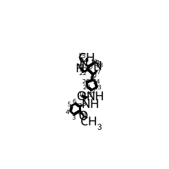 COc1ccccc1NC(=O)Nc1ccc(-c2cncc3c2cnn3C)cc1